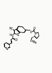 COC[C@@H]1CCCN1C(=O)OCC1CCc2c(sc(NC(=O)C=Cc3cccnc3)c2C#N)C1